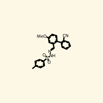 COc1ccc(-c2ccccc2C#N)c(C=NNS(=O)(=O)c2ccc(C)cc2)c1